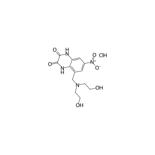 Cl.O=c1[nH]c2cc([N+](=O)[O-])cc(CN(CCO)CCO)c2[nH]c1=O